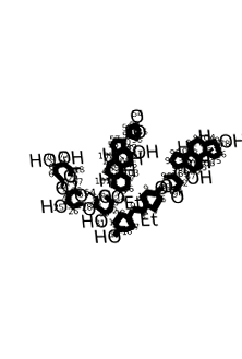 CC/C(=C(/CC)c1ccc(O)cc1)c1ccc(O)cc1.C[C@H]1O[C@@H](O[C@H]2[C@@H](O)C[C@H](O[C@H]3[C@@H](O)C[C@H](O[C@H]4CC[C@@]5(C)[C@H](CC[C@@H]6[C@@H]5C[C@@H](O)[C@]5(C)[C@@H](C7=CC(=O)OC7)CC[C@]65O)C4)O[C@@H]3C)O[C@@H]2C)C[C@H](O)[C@@H]1O.C[C@]12CC[C@H](O)C[C@H]1CC[C@@H]1[C@@H]2C[C@@H](O)[C@]2(C)[C@@H](C3=CC(=O)OC3)CC[C@]12O